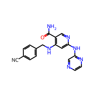 N#Cc1ccc(CNc2cc(Nc3cnccn3)ncc2C(N)=O)cc1